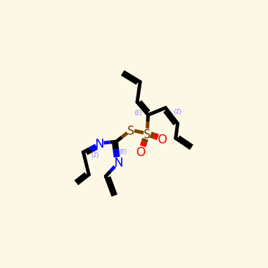 C=C/C=C\C(=C/C=C)S(=O)(=O)SC(/N=C\C=C)=N/C=C